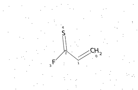 C=CC(F)=S